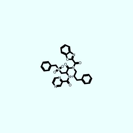 O=C(NC(CS(=O)(=O)Cc1ccccc1)C(=O)N(CCCc1ccccc1)C(=O)c1nc2ccccc2o1)c1cnccn1